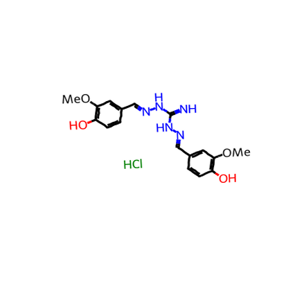 COc1cc(C=NNC(=N)NN=Cc2ccc(O)c(OC)c2)ccc1O.Cl